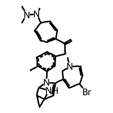 C=C(Cc1ccc(C)c(N2C(C3=CC(Br)C=CN(C)C3)=CC34CC3C2N4)c1)C1=CC=CC(N(C)N(C)C)C=C1